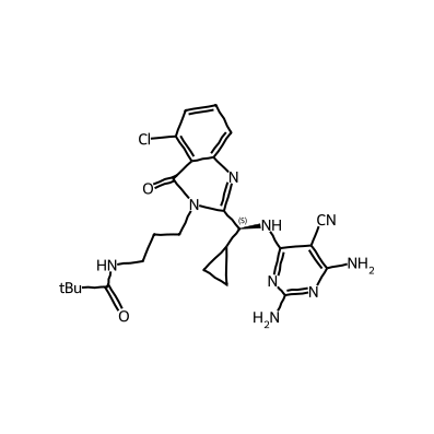 CC(C)(C)C(=O)NCCCn1c([C@@H](Nc2nc(N)nc(N)c2C#N)C2CC2)nc2cccc(Cl)c2c1=O